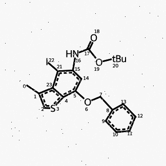 Cc1csc2c(OCc3ccccc3)cc(NC(=O)OC(C)(C)C)c(I)c12